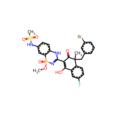 COP1(=O)N=C(C2=C(O)c3cc(F)ccc3C(C)(Cc3cccc(Br)c3)C2=O)Nc2ccc(NS(C)(=O)=O)cc21